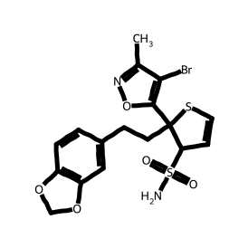 Cc1noc(C2(CCc3ccc4c(c3)OCO4)SC=CC2S(N)(=O)=O)c1Br